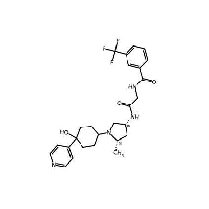 C[C@H]1C[C@@H](NC(=O)CNC(=O)c2cccc(C(F)(F)F)c2)CN1C1CCC(O)(c2ccncc2)CC1